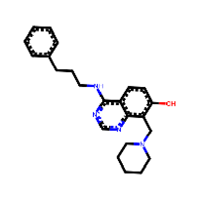 Oc1ccc2c(NCCCc3ccccc3)ncnc2c1CN1CCCCC1